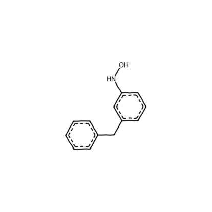 ONc1cccc(Cc2ccccc2)c1